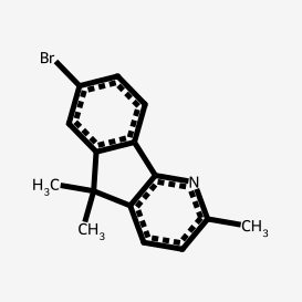 Cc1ccc2c(n1)-c1ccc(Br)cc1C2(C)C